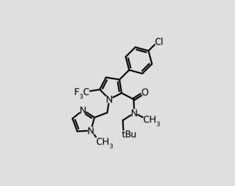 CN(CC(C)(C)C)C(=O)c1c(-c2ccc(Cl)cc2)cc(C(F)(F)F)n1Cc1nccn1C